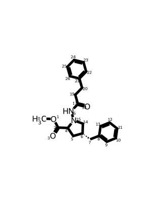 COC(=O)C1C[C@@H](Cc2ccccc2)CN1NC(=O)CCc1ccccc1